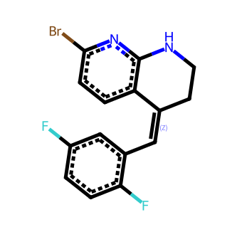 Fc1ccc(F)c(/C=C2/CCNc3nc(Br)ccc32)c1